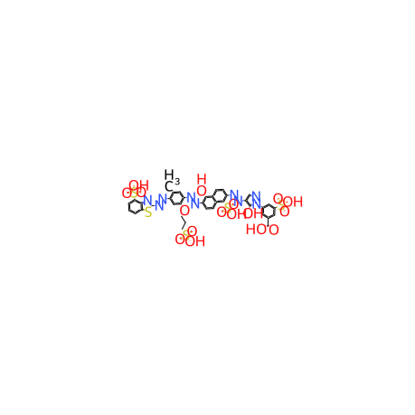 Cc1cc(N=Nc2ccc3c(S(=O)(=O)O)c(N=Nc4cnn(-c5cc(C(=O)O)cc(S(=O)(=O)O)c5)c4O)ccc3c2O)c(OCCCS(=O)(=O)O)cc1N=Nc1nc2c(S(=O)(=O)O)cccc2s1